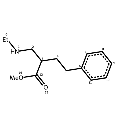 CCNCC(CCc1ccccc1)C(=O)OC